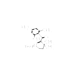 Cc1cc(C)c(C(=O)C2=CN(C(C)(C)C)CCC2(C)C)c(C)c1